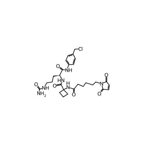 NC(=O)NCCC[C@H](NC(=O)C1(NC(=O)CCCCCN2C(=O)C=CC2=O)CCC1)C(=O)Nc1ccc(CCl)cc1